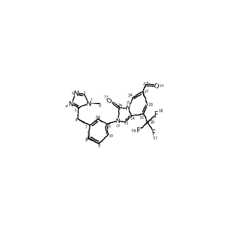 Cn1cnnc1Cc1cccc(-n2cc3c(C(F)(F)F)cc(C=O)cn3c2=O)c1